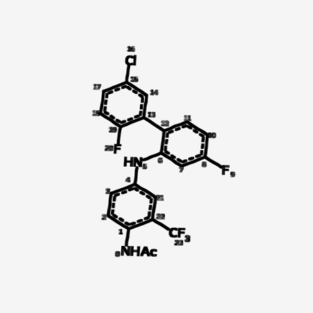 CC(=O)Nc1ccc(Nc2cc(F)ccc2-c2cc(Cl)ccc2F)cc1C(F)(F)F